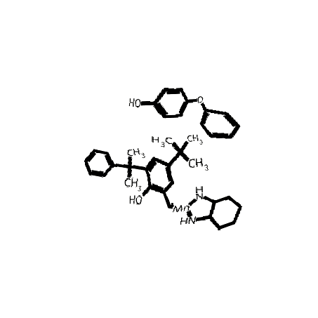 CC(C)(C)c1cc([CH]=[Mn]2[NH]C3CCCCC3[NH]2)c(O)c(C(C)(C)c2ccccc2)c1.Oc1ccc(Oc2ccccc2)cc1